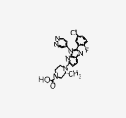 C[C@@H]1CN(C(=O)O)CCN1c1ccc2nc(-c3cc(Cl)ccc3F)n(-c3ccnnc3)c2n1